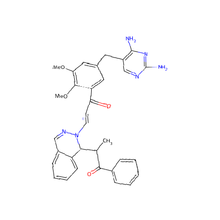 COc1cc(Cc2cnc(N)nc2N)cc(C(=O)/C=C/N2N=Cc3ccccc3C2C(C)C(=O)c2ccccc2)c1OC